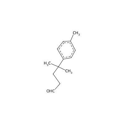 Cc1ccc(C(C)(C)CCC=O)cc1